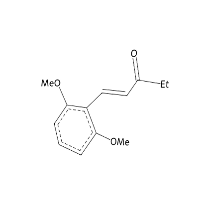 CCC(=O)/C=C/c1c(OC)cccc1OC